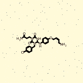 NC/C=C\COc1ccc(NC2NC(=O)N(CCC(N)=O)C(=O)N2Cc2ccc(Cl)cc2)cc1